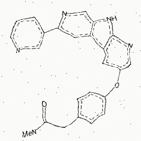 CNC(=O)Cc1ccc(Oc2cnc3[nH]c4cnc(-c5cccnc5)cc4c3c2)cc1